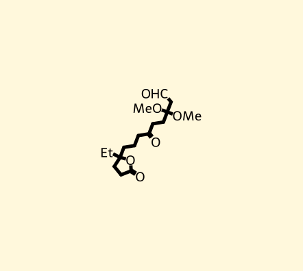 CCC1(CCCC(=O)CCC(CC=O)(OC)OC)CCC(=O)O1